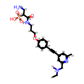 CCN(I)Cc1cc(C#Cc2ccc(OCCCNC(=O)C(CN)S(=O)(=O)O)cc2)cc(C)n1